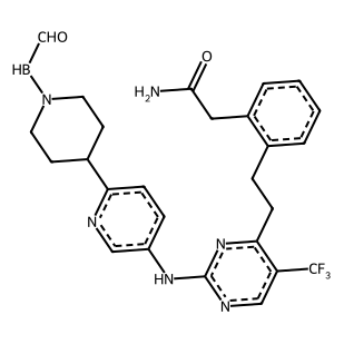 NC(=O)Cc1ccccc1CCc1nc(Nc2ccc(C3CCN(BC=O)CC3)nc2)ncc1C(F)(F)F